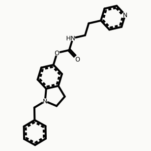 O=C(NCCc1ccncc1)Oc1ccc2c(c1)CCN2Cc1ccccc1